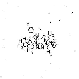 Cc1nn(-c2cc(N(C(=O)OC(C)(C)C)c3c(C)c(-c4ccc(F)cc4)nn3CC3CC3)ncn2)c(C)c1[N+](=O)[O-]